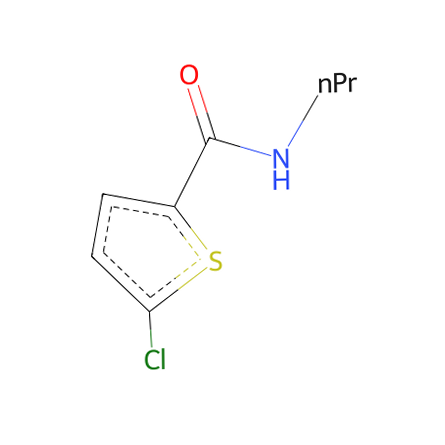 CCCNC(=O)c1ccc(Cl)s1